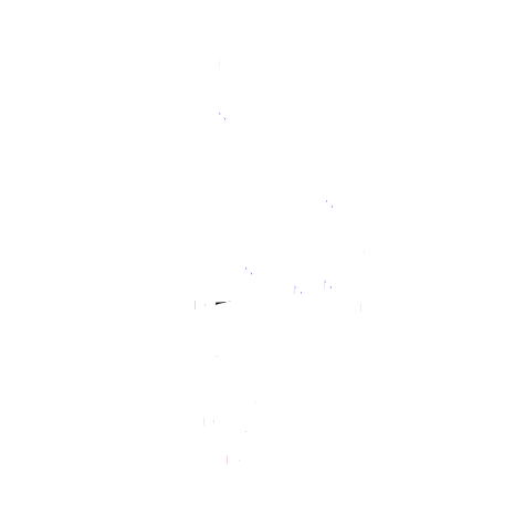 COc1nc2c(=O)n(C)nc(N[C@H](C)c3cccc(C(F)(F)C(C)(C)O)c3F)c2cc1C1CCN(C(C)C)CC1